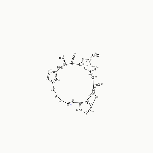 CC(C)(C)[C@@H]1Nc2nc(cs2)CCC/C=C/c2cccc3c2CN(C3)C(=O)O[C@@H]2C[C@@H](C=O)CN(C2)C1=O